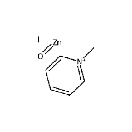 C[n+]1ccccc1.[I-].[O]=[Zn]